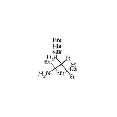 Br.Br.Br.Br.CCC(N)(CC)C(N)(CC)C(CC)(CC)CC